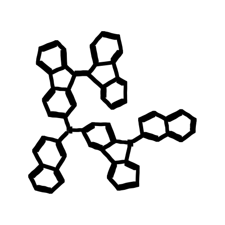 c1ccc2c(c1)C(=C1c3ccccc3-c3ccc(N(c4ccc5ccccc5c4)c4ccc5c(c4)c4ccccc4n5-c4ccc5ccccc5c4)cc31)c1ccccc1-2